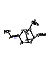 COC1C2CCC(/C(=N\O)S2)C1OC